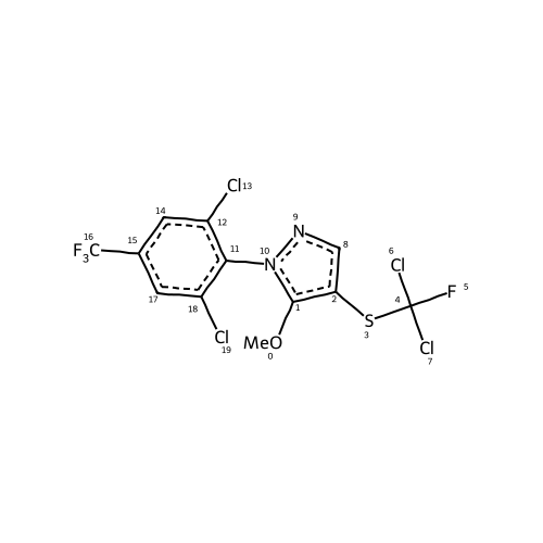 COc1c(SC(F)(Cl)Cl)cnn1-c1c(Cl)cc(C(F)(F)F)cc1Cl